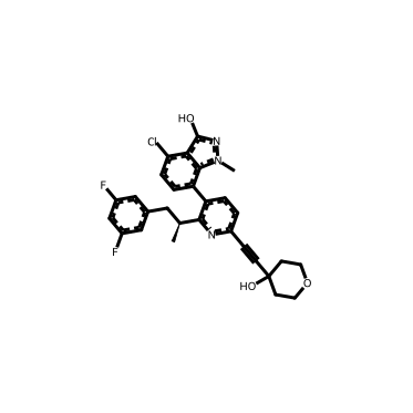 C[C@@H](Cc1cc(F)cc(F)c1)c1nc(C#CC2(O)CCOCC2)ccc1-c1ccc(Cl)c2c(O)nn(C)c12